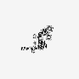 CNC(=O)NCCn1ccc2ncnc(Nc3ccc(OC4=CN(Cc5ccccc5)S(Cc5ccccc5)=C4)c(Cl)c3)c21